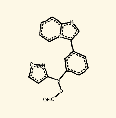 O=CON(c1cccc(-c2cnc3ccccn23)c1)c1ccon1